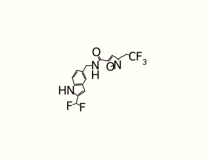 O=C(NCc1ccc2[nH]c(C(F)F)cc2c1)c1cc(CC(F)(F)F)no1